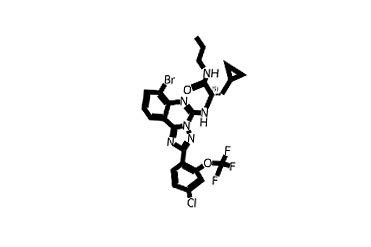 CCCNC(=O)[C@H](CC1CC1)Nc1nc2c(Br)cccc2c2nc(-c3ccc(Cl)cc3OC(F)(F)F)nn12